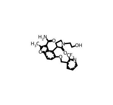 Cc1oc2ccc(OCc3cccnc3C(F)(F)F)c(C3CCN(CCO)C3=O)c2c1C(N)=O